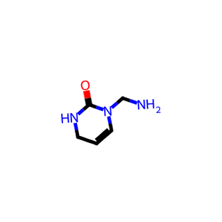 NCN1C=CCNC1=O